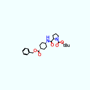 CC(C)(C)OC(=O)N1CCCC1C(=O)N[C@H]1CC[C@@H](C(=O)OCc2ccccc2)CC1